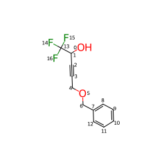 OC(C#CCOCc1ccccc1)C(F)(F)F